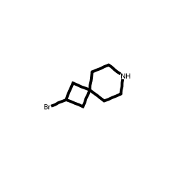 BrC1CC2(CCNCC2)C1